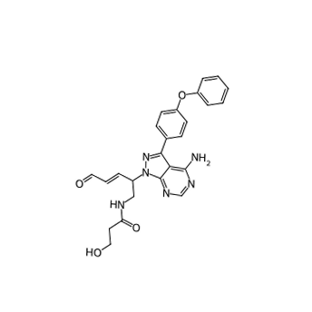 Nc1ncnc2c1c(-c1ccc(Oc3ccccc3)cc1)nn2C(C=CC=O)CNC(=O)CCO